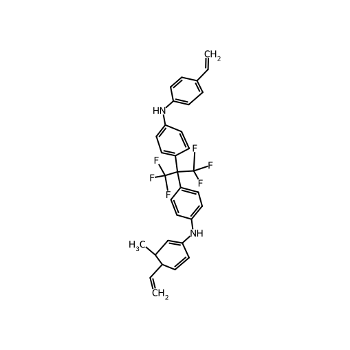 C=Cc1ccc(Nc2ccc(C(c3ccc(NC4=CC(C)C(C=C)C=C4)cc3)(C(F)(F)F)C(F)(F)F)cc2)cc1